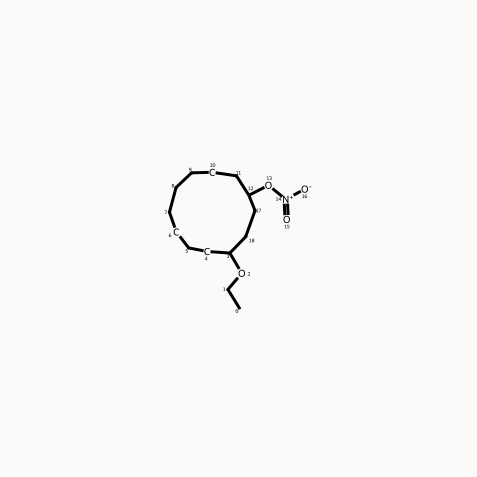 CCOC1CCCCCCCCC(O[N+](=O)[O-])CC1